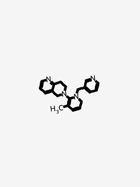 CC1=C(N2CCc3ncccc3C2)N(Cc2cccnc2)CC=C1